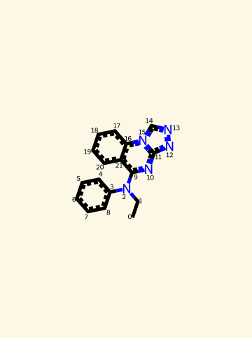 CCN(c1ccccc1)c1nc2nncn2c2ccccc12